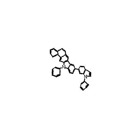 c1ccc(-n2ccc3ccc(-c4ccc5c(c4)c4cc6ccc7ccccc7c6cc4n5-c4ccccc4)cc32)cc1